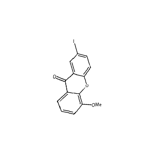 COc1cccc2c(=O)c3cc(I)ccc3oc12